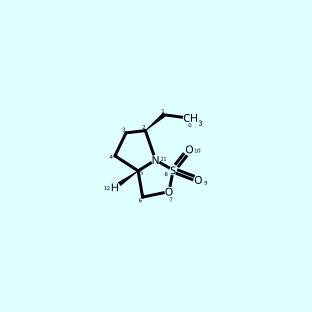 CC[C@@H]1CC[C@H]2COS(=O)(=O)N12